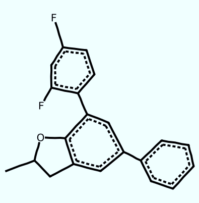 CC1Cc2cc(-c3ccccc3)cc(-c3ccc(F)cc3F)c2O1